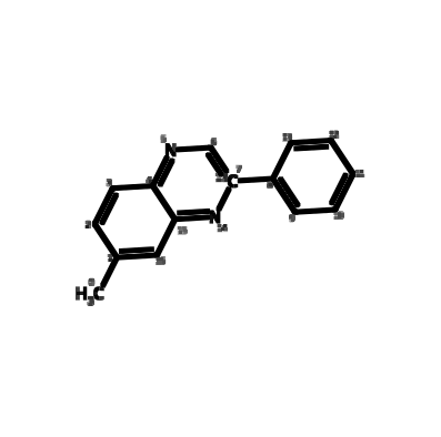 Cc1ccc2nc[13c](-c3ccccc3)nc2c1